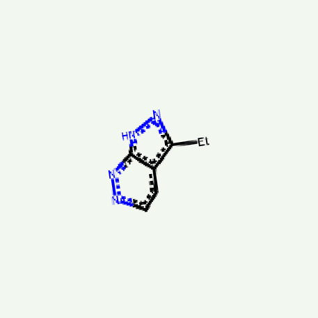 CCc1n[nH]c2nnccc12